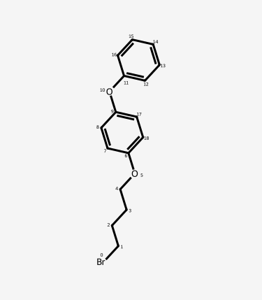 BrCCCCOc1ccc(Oc2ccccc2)cc1